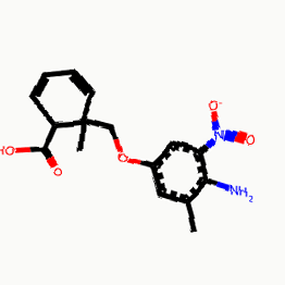 Cc1cc(OCC2(C)C=CC=CC2C(=O)O)cc([N+](=O)[O-])c1N